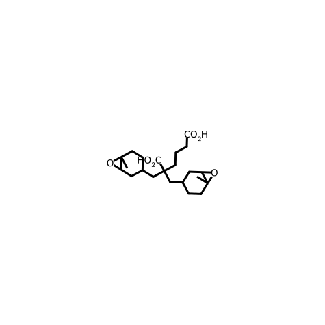 CC12CCC(CC(CCCC(=O)O)(CC3CCC4(C)OC4C3)C(=O)O)CC1O2